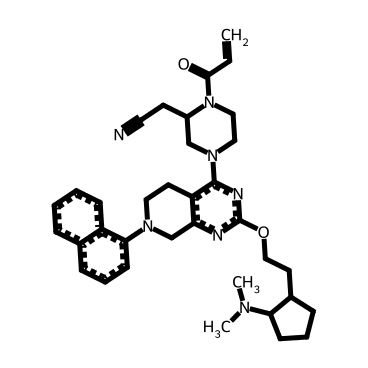 C=CC(=O)N1CCN(c2nc(OCCC3CCCC3N(C)C)nc3c2CCN(c2cccc4ccccc24)C3)CC1CC#N